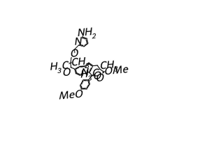 COC(=O)C(C)(C)Cc1cc2cc(C(=O)C(C)(C)COCc3cccc(N)n3)ccn2c1C(=O)c1ccc(OC)cc1